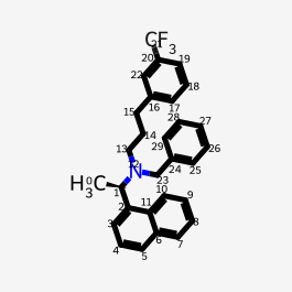 C[C@H](c1cccc2ccccc12)N(CCCc1cccc(C(F)(F)F)c1)Cc1ccccc1